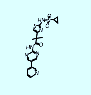 CC(C)(C(=O)Nc1ncc(-c2cccnc2)cn1)c1csc(NS(=O)(=O)C2CC2)n1